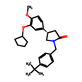 COc1ccc([C@@H]2CC(=O)N(Cc3ccc(C(C)(C)C)cc3)C2)cc1OC1CCCC1